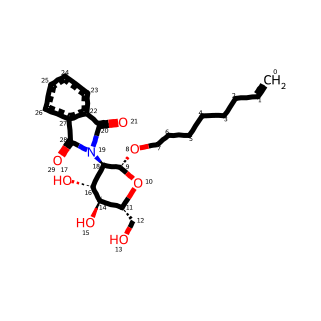 C=CCCCCCCO[C@@H]1O[C@H](CO)[C@@H](O)[C@H](O)[C@H]1N1C(=O)c2ccccc2C1=O